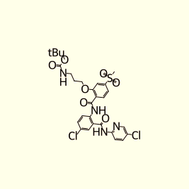 CC(C)(C)OC(=O)NCCCOc1cc(S(C)(=O)=O)ccc1C(=O)Nc1ccc(Cl)cc1C(=O)Nc1ccc(Cl)cn1